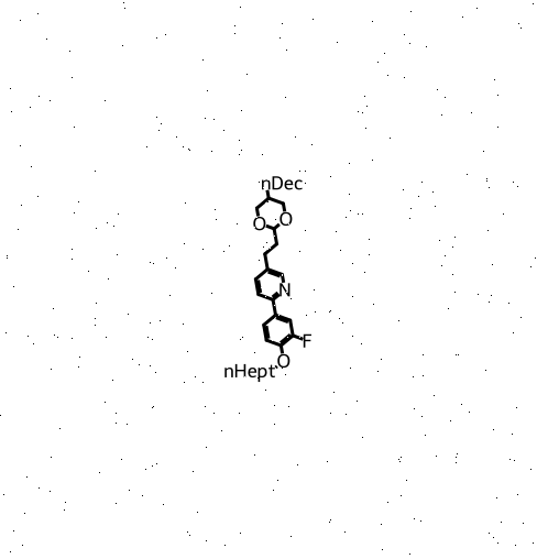 CCCCCCCCCCC1COC(CCc2ccc(-c3ccc(OCCCCCCC)c(F)c3)nc2)OC1